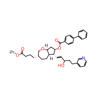 CC(C)OC(=O)CCC[C@H]1CC[C@@H]2[C@@H](C=CC(O)CCc3cccnc3)[C@H](OC(=O)c3ccc(-c4ccccc4)cc3)C[C@@H]2OC1